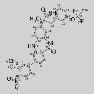 COc1cc(-c2ccc3c(c2)Nc2ccc(C(C)(Cc4cccc(OC(F)(F)F)c4)C(N)=O)cc2NC3=O)ccc1[N+](=O)[O-]